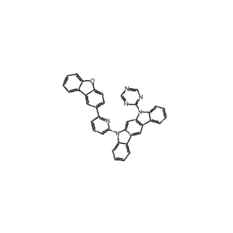 c1cc(-c2ccc3oc4ccccc4c3c2)nc(-n2c3ccccc3c3cc4c5ccccc5n(-c5ncncn5)c4cc32)c1